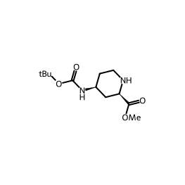 COC(=O)[C@H]1C[C@@H](NC(=O)OC(C)(C)C)CCN1